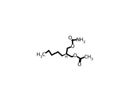 CCCCC[C@H](COC(C)=O)COC(N)=O